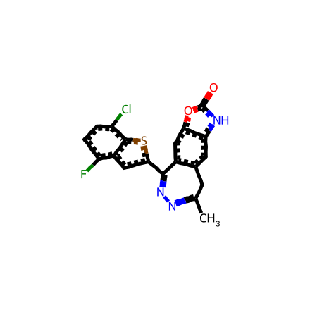 CC1=NN=C(c2cc3c(F)ccc(Cl)c3s2)c2cc3oc(=O)[nH]c3cc2C1